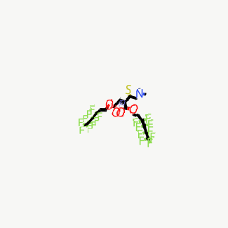 CN(C)CC(=S)/C(=C/C(=O)OCCC(F)(F)C(F)(F)C(F)(F)C(F)(F)F)C(=O)OCCC(F)(F)C(F)(F)C(F)(F)C(F)(F)F